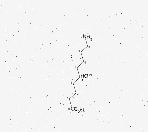 CCOC(=O)CCCCCCCCN.Cl